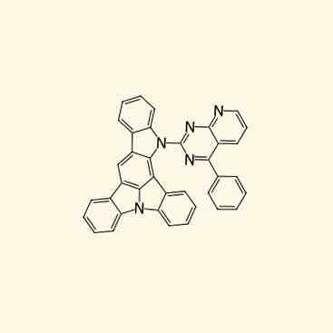 c1ccc(-c2nc(-n3c4ccccc4c4cc5c6ccccc6n6c7ccccc7c(c43)c56)nc3ncccc23)cc1